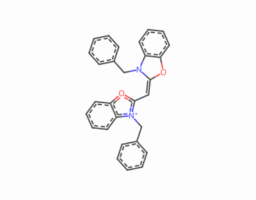 C(=C1\Oc2ccccc2N1Cc1ccccc1)/c1oc2ccccc2[n+]1Cc1ccccc1